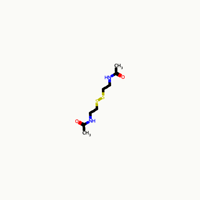 CC(=O)NCCSSCCNC(C)=O